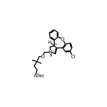 CCCCCCCCCCCCC(C)(C)COC[N+]1(C)C=C2c3cc(Cl)ccc3Oc3ccccc3[C@H]2C1